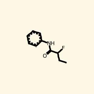 CCC(F)C(=O)Nc1[c]cccc1